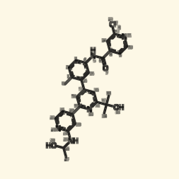 Cc1ccc(NC(=O)c2ccnc(C(F)(F)F)c2)cc1-c1cc(-c2ccnc(NC(C)O)c2)nc(C(C)(C)O)c1